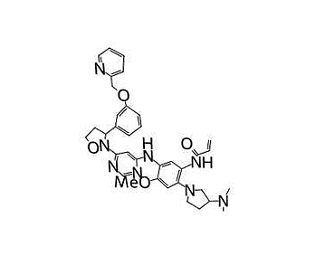 C=CC(=O)Nc1cc(Nc2cc(N3OCCC3c3cccc(OCc4ccccn4)c3)ncn2)c(OC)cc1N1CCC(N(C)C)C1